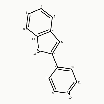 [c]1cccc2cc(-c3ccncc3)sc12